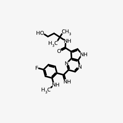 CNc1cc(F)ccc1C(=N)c1cnc2[nH]cc(C(=O)NC(C)(C)CCO)c2n1